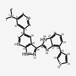 CN(C)c1cncc(-c2cnc3[nH]nc(-c4nc5c(-c6ccsc6)cccc5[nH]4)c3c2)c1